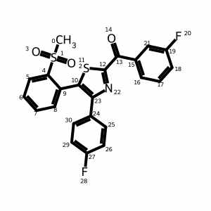 CS(=O)(=O)c1ccccc1-c1sc(C(=O)c2cccc(F)c2)nc1-c1ccc(F)cc1